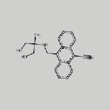 CC(CO)(CO)NCc1c2ccccc2c(C#N)c2ccccc12